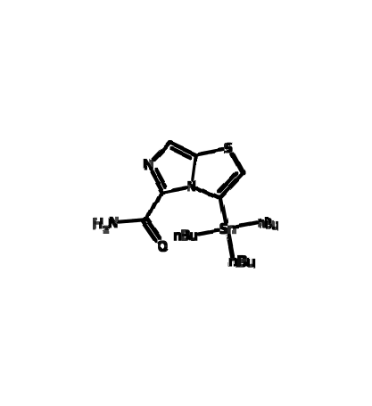 CCC[CH2][Sn]([CH2]CCC)([CH2]CCC)[c]1csc2cnc(C(N)=O)n12